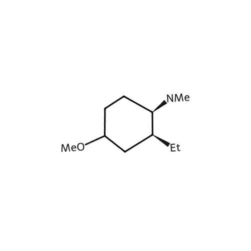 CC[C@H]1CC(OC)CC[C@H]1NC